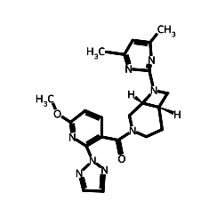 COc1ccc(C(=O)N2CC[C@H]3CN(c4nc(C)cc(C)n4)[C@H]3C2)c(-n2nccn2)n1